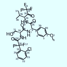 COc1ccc([C@H](NC(=O)[C@H](CO)NC(=O)C(F)(F)c2ccccc2Cl)C(=O)N[C@H](C(=O)C(F)(F)F)C(C)C)cc1